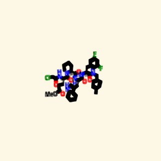 COC(=O)CC[C@H](NC(=O)CCl)C(=O)N1CCCC[C@H]1C(=O)N[C@@H](Cc1c[nH]c2ccccc12)C(=O)N[C@@H](Cc1cc(F)cc(F)c1)C(=O)NCc1ccc(C)cc1